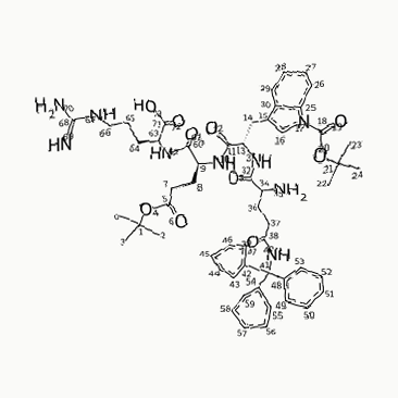 CC(C)(C)OC(=O)CC[C@H](NC(=O)[C@H](Cc1cn(C(=O)OC(C)(C)C)c2ccccc12)NC(=O)[C@@H](N)CCC(=O)NC(c1ccccc1)(c1ccccc1)c1ccccc1)C(=O)N[C@@H](CCCNC(=N)N)C(=O)O